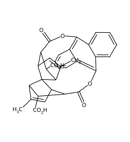 CC1=CC2C3C(=O)Oc4c5ccccc5c(c5ccccc45)OC(=O)C4C(C(=O)O)C5C(C)=CC4C25C1C3C(=O)O